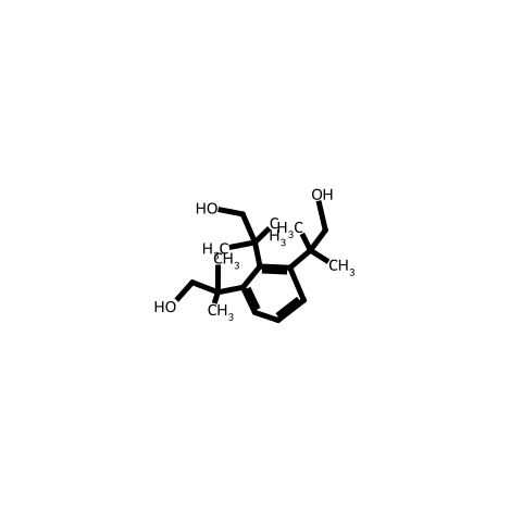 CC(C)(CO)c1cccc(C(C)(C)CO)c1C(C)(C)CO